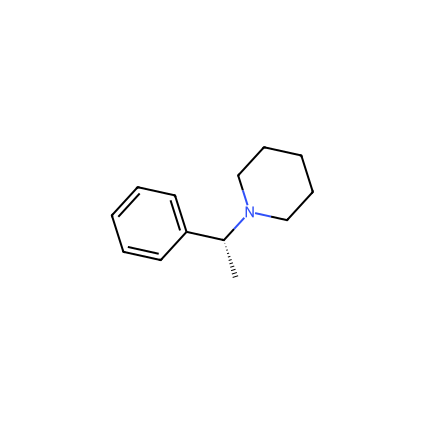 C[C@H](c1ccccc1)N1CCCCC1